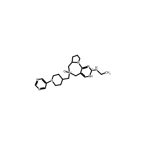 CCN[C@@H]1N=C2C(=CN1)C[N+]([O-])(CC1CCN(c3cncnc3)CC1)CC1CCCN21